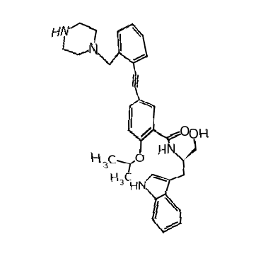 CC(C)Oc1ccc(C#Cc2ccccc2CN2CCNCC2)cc1C(=O)N[C@@H](CO)Cc1c[nH]c2ccccc12